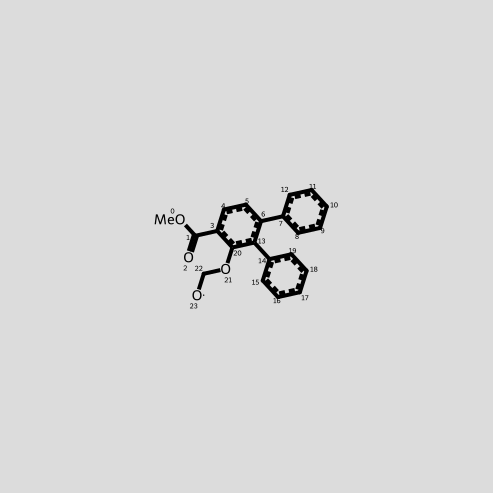 COC(=O)c1ccc(-c2ccccc2)c(-c2ccccc2)c1OC[O]